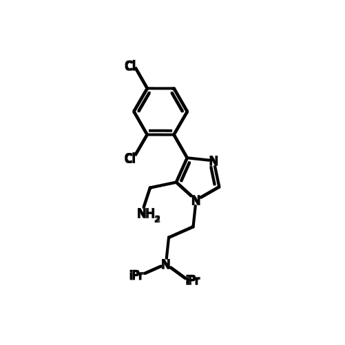 CC(C)N(CCn1cnc(-c2ccc(Cl)cc2Cl)c1CN)C(C)C